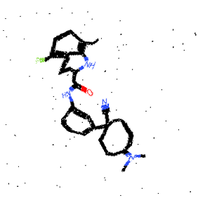 Cc1ccc(F)c2c1NC(C(=O)Nc1cccc(C3(C#N)CCC(N(C)C)CC3)c1)C2